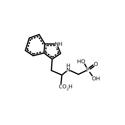 O=C(O)C(Cc1c[nH]c2ccccc12)NCP(=O)(O)O